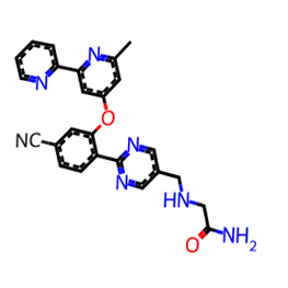 Cc1cc(Oc2cc(C#N)ccc2-c2ncc(CNCC(N)=O)cn2)cc(-c2ccccn2)n1